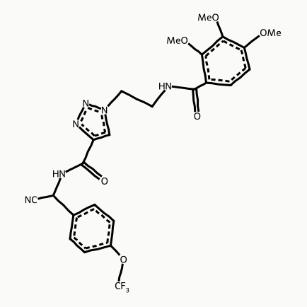 COc1ccc(C(=O)NCCn2cc(C(=O)NC(C#N)c3ccc(OC(F)(F)F)cc3)nn2)c(OC)c1OC